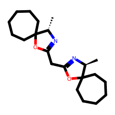 C[C@@H]1N=C(CC2=N[C@@H](C)C3(CCCCCC3)O2)OC12CCCCCC2